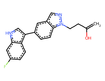 C=C(O)CCn1ncc2cc(-c3c[nH]c4cc(F)ccc34)ccc21